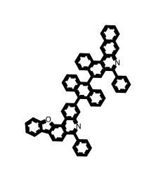 c1ccc(-c2nc3cc4ccccc4cc3c3c2cc(-c2c4ccccc4c(-c4ccc5c(c4)nc(-c4ccccc4)c4ccc6c7ccccc7oc6c45)c4ccccc24)c2ccccc23)cc1